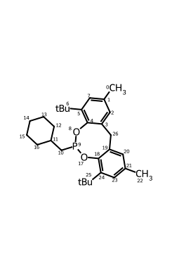 Cc1cc2c(c(C(C)(C)C)c1)OP(CC1CCCCC1)Oc1c(cc(C)cc1C(C)(C)C)C2